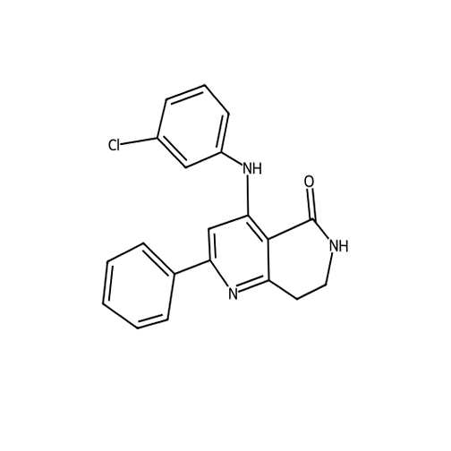 O=C1NCCc2nc(-c3ccccc3)cc(Nc3cccc(Cl)c3)c21